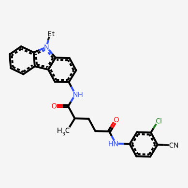 CCn1c2ccccc2c2cc(NC(=O)C(C)CCC(=O)Nc3ccc(C#N)c(Cl)c3)ccc21